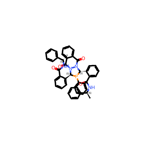 C[C@H](NC(=O)c1ccccc1[C@H]1n2c(=O)c3ccccc3c(=O)n2[C@H](c2ccccc2C(=O)N[C@@H](C)c2ccccc2)P1c1ccccc1)c1ccccc1